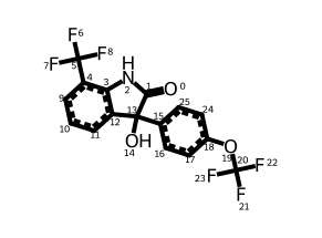 O=C1Nc2c(C(F)(F)F)cccc2C1(O)c1ccc(OC(F)(F)F)cc1